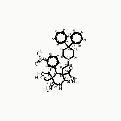 CCC1(C(=O)O)C(c2cccc([N+](=O)[O-])c2)C(CCN2CCC(c3ccccc3)(c3ccccc3)CC2)(C(=O)O)C(C)N[C@H]1N